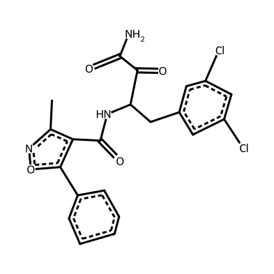 Cc1noc(-c2ccccc2)c1C(=O)NC(Cc1cc(Cl)cc(Cl)c1)C(=O)C(N)=O